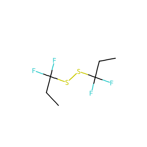 CCC(F)(F)SSC(F)(F)CC